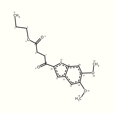 CCCOC(=O)CCC(=O)c1cc2cc(OC)c(OC)cc2s1